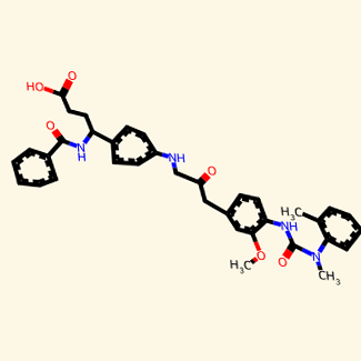 COc1cc(CC(=O)CNc2ccc(C(CCC(=O)O)NC(=O)c3ccccc3)cc2)ccc1NC(=O)N(C)c1ccccc1C